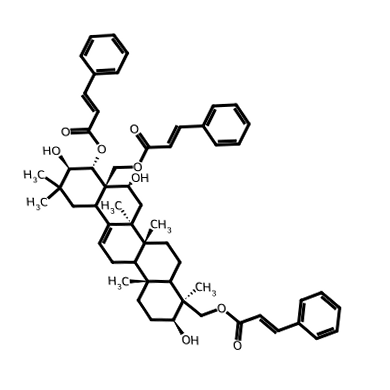 CC1(C)CC2C3=CCC4[C@@]5(C)CC[C@H](O)[C@](C)(COC(=O)/C=C/c6ccccc6)C5CC[C@@]4(C)[C@]3(C)C[C@@H](O)[C@@]2(COC(=O)/C=C/c2ccccc2)[C@@H](OC(=O)/C=C/c2ccccc2)[C@@H]1O